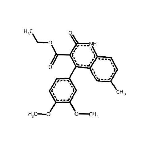 CCOC(=O)c1c(-c2ccc(OC)c(OC)c2)c2cc(C)ccc2[nH]c1=O